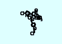 CC1=C(C(=O)OCc2ccc(OCCCl)cc2)[C@H](c2ccc(Cl)nc2)CC(=O)N1C[C@H]1CCCO1